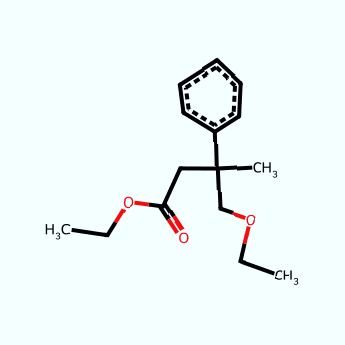 CCOCC(C)(CC(=O)OCC)c1ccccc1